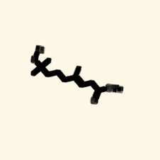 CCOC(C)(C)CCC/C(C)=C/CC(=O)OC